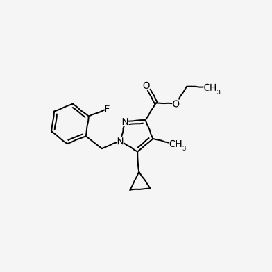 CCOC(=O)c1nn(Cc2ccccc2F)c(C2CC2)c1C